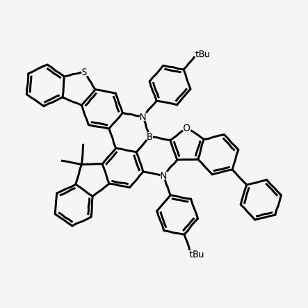 CC(C)(C)c1ccc(N2B3c4oc5ccc(-c6ccccc6)cc5c4N(c4ccc(C(C)(C)C)cc4)c4cc5c(c(c43)-c3cc4c(cc32)sc2ccccc24)C(C)(C)c2ccccc2-5)cc1